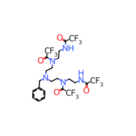 O=C(NCCN(CCN(CCN(CCNC(=O)C(F)(F)F)C(=O)C(F)(F)F)Cc1ccccc1)C(=O)C(F)(F)F)C(F)(F)F